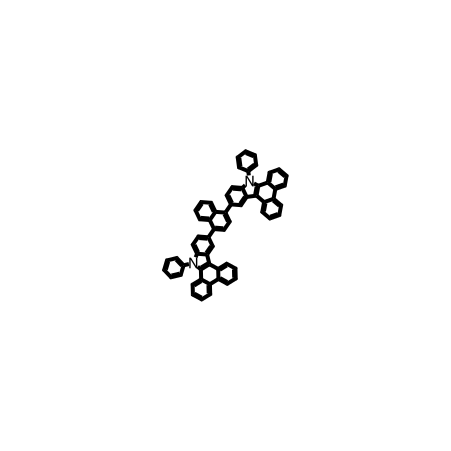 c1ccc(-n2c3ccc(-c4ccc(-c5ccc6c(c5)c5c7ccccc7c7ccccc7c5n6-c5ccccc5)c5ccccc45)cc3c3c4ccccc4c4ccccc4c32)cc1